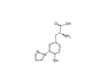 N[C@@H](Cc1ccc(O)c(-n2cccn2)c1)C(=O)O